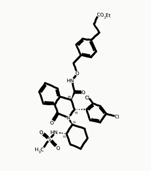 CCOC(=O)CCc1ccc(CONC(=O)[C@@H]2c3ccccc3C(=O)N([C@H]3CCCC[C@@H]3NS(C)(=O)=O)[C@H]2c2ccc(Cl)cc2Cl)cc1